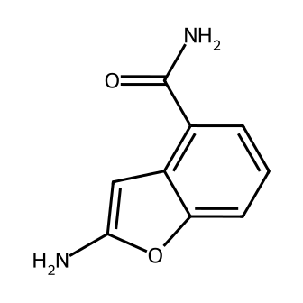 NC(=O)c1cccc2oc(N)cc12